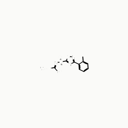 COC(=NS(=O)(=O)c1nc(-c2ccccc2C)ns1)C(C)C